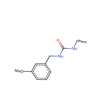 CCCCCNC(=O)NCc1cccc(OC)c1